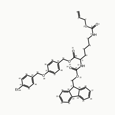 C=CCOC(=O)NCCCCC(NC(=O)OCC1c2ccccc2-c2ccccc21)C(=O)OCc1ccc(OCc2ccc(CC)cc2)cc1